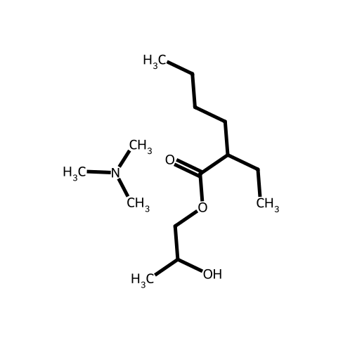 CCCCC(CC)C(=O)OCC(C)O.CN(C)C